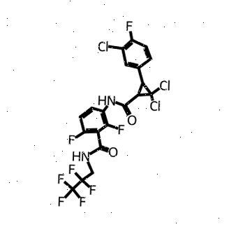 O=C(NCC(F)(F)C(F)(F)F)c1c(F)ccc(NC(=O)C2C(c3ccc(F)c(Cl)c3)C2(Cl)Cl)c1F